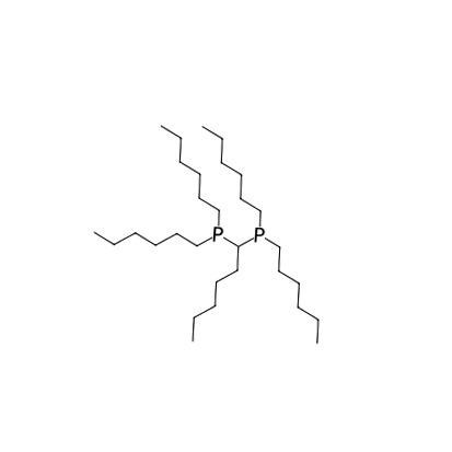 CCCCCCP(CCCCCC)C(CCCCC)P(CCCCCC)CCCCCC